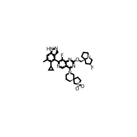 Cc1cc2[nH]ncc2c(-c2ncc3c(N4CCC[C@]5(CCS(=O)(=O)C5)C4)nc(OC[C@@]45CCCN4C[C@H](F)C5)nc3c2F)c1C1CC1